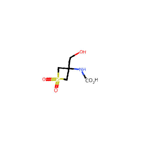 O=C(O)NC1(CO)CS(=O)(=O)C1